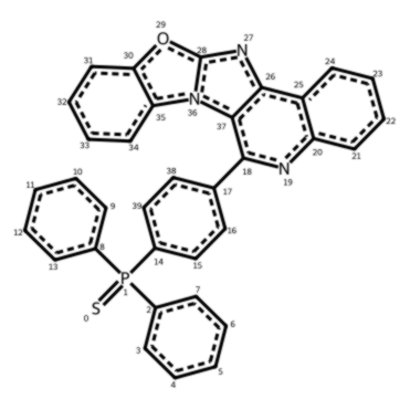 S=P(c1ccccc1)(c1ccccc1)c1ccc(-c2nc3ccccc3c3nc4oc5ccccc5n4c23)cc1